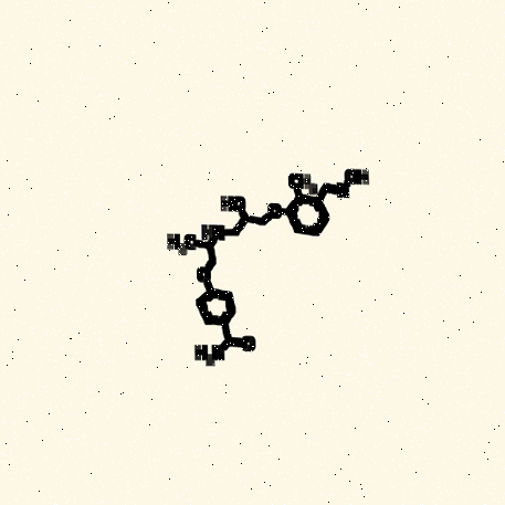 Cc1c(C=NO)cccc1OCC(O)CNC(C)COc1ccc(C(N)=O)cc1